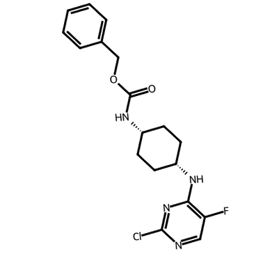 O=C(N[C@H]1CC[C@@H](Nc2nc(Cl)ncc2F)CC1)OCc1ccccc1